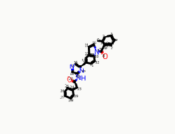 Cc1ccccc1C(=O)N1CCc2cc(-c3cncc(NC(=O)Cc4ccccc4)n3)ccc21